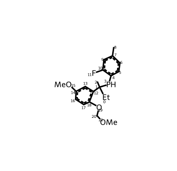 CCC(C)(Pc1ccc(C)cc1F)c1cc(OC)ccc1OCOC